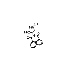 CCNCC(O)N1C(=O)c2cccc3cccc(c23)C1=O